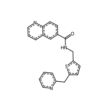 O=C(NCc1ccc(Cc2ccccn2)s1)c1ccc2ncccc2c1